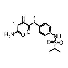 CC(C)S(=O)(=O)Nc1ccc([C@@H](C)C(=O)N[C@@H](C)C(N)=O)cc1